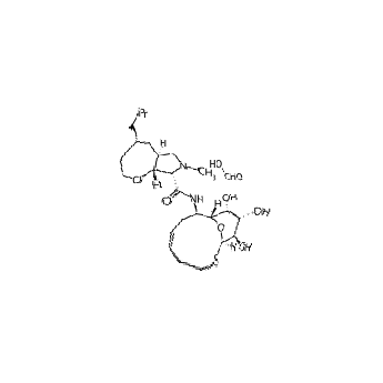 CC(C)C[C@@H]1CCO[C@@H]2[C@@H](C1)CN(C)[C@@H]2C(=O)N[C@@H]1C/C=C\CCS[C@H]2O[C@H]1[C@H](O)[C@H](O)[C@H]2O.O=CO